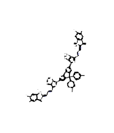 Cc1ccc(C2(c3ccc(C)cc3)c3cc(-c4sc(/C=C/C=C5/C(=O)c6cc(F)c(F)cc6S5(=O)=O)c5c4N=S=N5)sc3-c3sc(-c4sc(/C=C/C=C5/C(=O)c6cc(F)c(F)cc6S5(=O)=O)c5c4N=S=N5)cc32)cc1